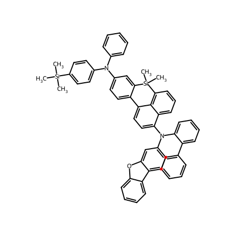 C[Si](C)(C)c1ccc(N(c2ccccc2)c2ccc3c(c2)[Si](C)(C)c2cccc4c(N(c5ccc6c(c5)oc5ccccc56)c5ccccc5-c5ccccc5)ccc-3c24)cc1